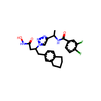 CC(NC(=O)c1ccc(F)c(F)c1)c1cn(C(CC(=O)NO)Cc2ccc3c(c2)CCCC3)nn1